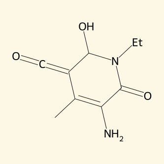 CCN1C(=O)C(N)=C(C)C(=C=O)C1O